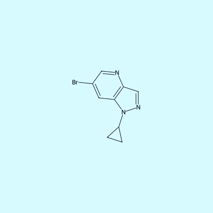 Brc1cnc2cnn(C3CC3)c2c1